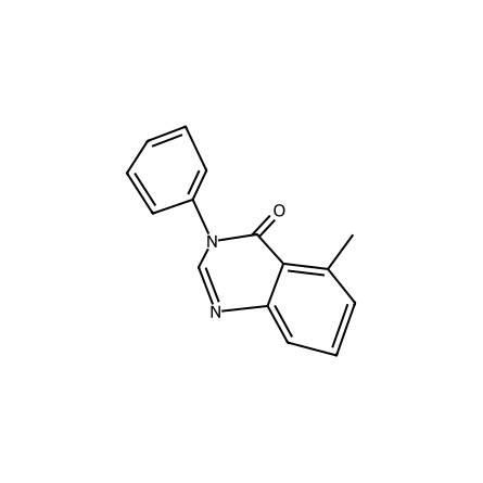 Cc1cccc2ncn(-c3ccccc3)c(=O)c12